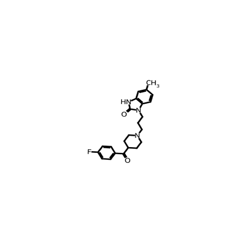 Cc1ccc2c(c1)[nH]c(=O)n2CCCN1CCC(C(=O)c2ccc(F)cc2)CC1